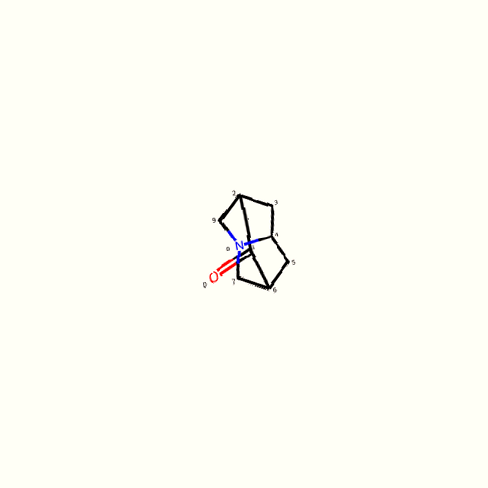 O=C1C2CC3CC1CN3C2